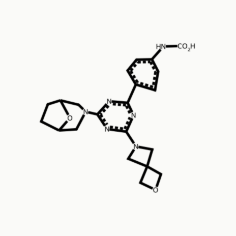 O=C(O)Nc1ccc(-c2nc(N3CC4CCC(C3)O4)nc(N3CC4(COC4)C3)n2)cc1